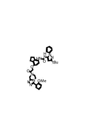 COc1ccccc1-c1nnc2n1CCN(C(=O)COc1ccc(NC(=O)Nc3cc(C(C)(C)C)nn3-c3ccccc3)c3c1CCC3)C2